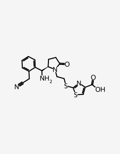 N#CCc1ccccc1C(N)[C@H]1CCC(=O)N1CCSc1nc(C(=O)O)cs1